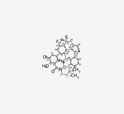 CC1(C)CCN2C(=O)c3c(O)c(=O)ccn3N(C3c4ccccc4-c4scc5c4-c4c3ccc(F)c4C(F)(F)C5)C2C1